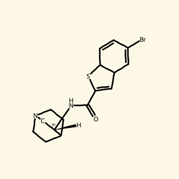 O=C(N[C@H]1CN2CCC1CC2)C1=CC2C=C(Br)C=CC2S1